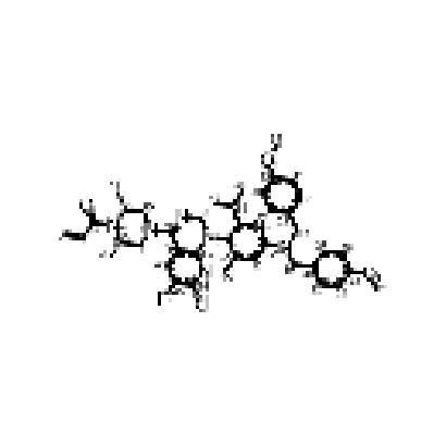 C=CC(=O)N1[C@H](C)CN(C2=NCN(c3c(C)cc(N(Cc4ccc(OC)cc4)Cc4ccc(OC)cc4)nc3C(C)C)c3nc(Cl)c(F)cc32)C[C@@H]1C